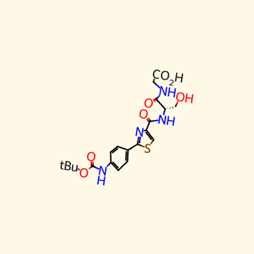 CC(C)(C)OC(=O)Nc1ccc(-c2nc(C(=O)N[C@@H](CO)C(=O)NCC(=O)O)cs2)cc1